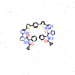 O=C(N[C@H](C(=O)N1CCC[C@H]1c1ncc(C2=CCC(c3ccc(-c4ccc(-c5cnc([C@@H]6CCCN6C(=O)[C@@H](NC(=O)C6CC6)c6ccccc6)[nH]5)s4)cc3)S2)[nH]1)c1ccccc1)C1CC1